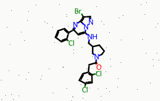 O=C(Cc1ccc(Cl)cc1Cl)N1CCCC(CNc2cc(-c3ccccc3Cl)nc3c(Br)cnn23)C1